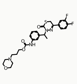 CC(c1cccc(NC(=O)OCCCN2CCOCC2)c1)N1N=C(c2ccc(F)c(F)c2)CSC1=O